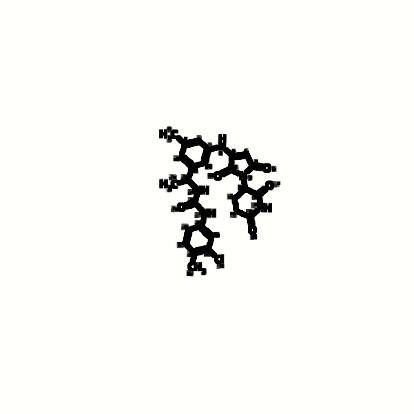 Cc1cc(NC2=CC(=O)N(C3CCC(=O)NC3=O)C2=O)cc(C(C)NC(=O)Nc2ccc(C)c(Cl)c2)c1